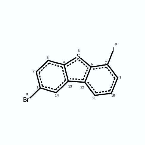 Brc1ccc2sc3c(I)cccc3c2c1